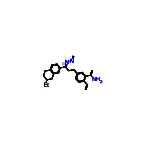 C=Cc1ccc(CC/C(=N\N=C)c2ccc3c(c2)CC(CC)CC3)cc1C(=C)N